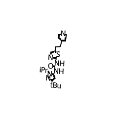 CC(C)n1nc(C(C)(C)C)cc1NC(=O)Nc1ncc(CCc2ccncc2)s1